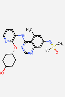 CCS(C)(=O)=Nc1cc(C)c2c(Nc3cccnc3O[C@H]3CC[C@H](O)CC3)ncnc2c1